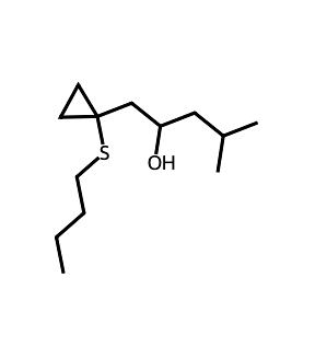 CCCCSC1(CC(O)CC(C)C)CC1